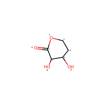 O=C1OCCC(O)C1O